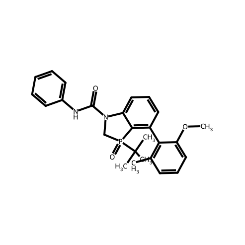 COc1cccc(C)c1-c1cccc2c1P(=O)(C(C)(C)C)CN2C(=O)Nc1ccccc1